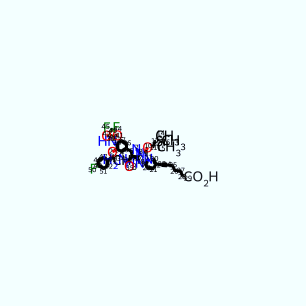 C[C@H](Oc1cc(-c2nn(COCC[Si](C)(C)C)c(Nc3ccc(C#CCCCCC(=O)O)cn3)c2C(N)=O)ccc1NS(=O)(=O)C(F)F)c1ccc(F)cc1